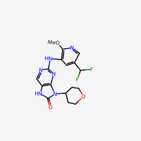 COc1ncc(C(F)F)cc1Nc1ncc2[nH]c(=O)n(C3CCOCC3)c2n1